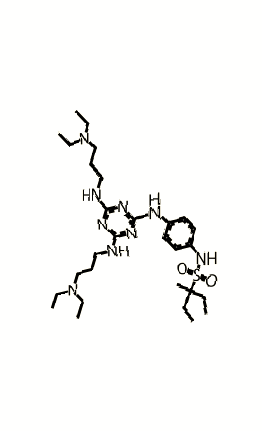 CCN(CC)CCCNc1nc(NCCCN(CC)CC)nc(Nc2ccc(NS(=O)(=O)C(C)(CC)CC)cc2)n1